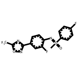 CS(=O)(=Nc1ccc(-c2noc(C(F)(F)F)n2)cc1F)c1ccc(F)cc1